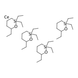 CCC1CCC[Si](CC)(CC)O1.CCC1CCC[Si](CC)(CC)O1.CCC1CCC[Si](CC)(CC)O1.CCC1CCC[Si](CC)(CC)O1.[Ce]